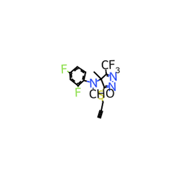 C#CCSC1=NN=C(C(F)(F)F)C1(C)N(C=O)c1ccc(F)cc1F